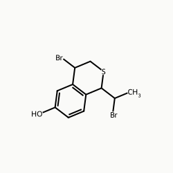 CC(Br)C1SCC(Br)c2cc(O)ccc21